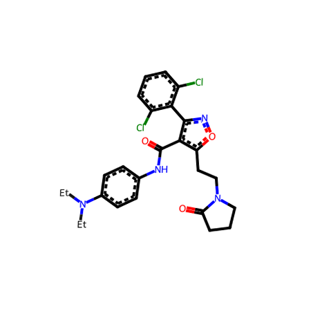 CCN(CC)c1ccc(NC(=O)c2c(-c3c(Cl)cccc3Cl)noc2CCN2CCCC2=O)cc1